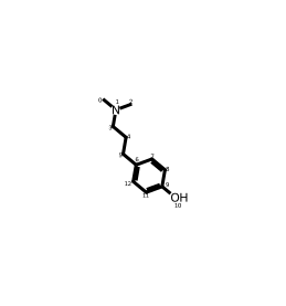 CN(C)CCCc1ccc(O)cc1